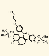 CC(C)(C)[Si](C)(C)Oc1ccc2c(c1)OC(c1ccc(OCCCO)cc1)C1=C2CCOC2=C1C=CC(O[Si](C)(C)C(C)(C)C)C2=O